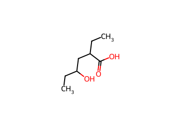 CCC(O)CC(CC)C(=O)O